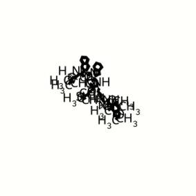 Cc1c(C)c(S(=O)(=O)NC(=N)NCCC[C@H](NC(=O)[C@@H]2CC3CCCCC3N2C(=O)[C@H]2Cc3ccccc3CN2C(=O)[C@@H](N)COC(C)(C)C)C(=O)OCC[Si](C)(C)C)c(C)c2c1OC(C)(C)C2